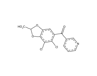 O=C(c1cccnc1)c1cc2c(c(Cl)c1Cl)OC(C(=O)O)O2